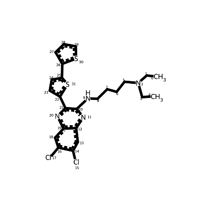 CCN(CC)CCCCNc1nc2cc(Cl)c(Cl)cc2nc1-c1ccc(-c2cccs2)s1